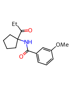 CCC(=O)C1(NC(=O)c2cccc(OC)c2)CCCC1